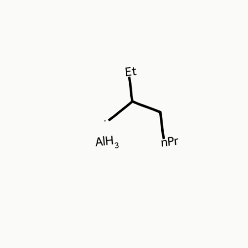 [AlH3].[CH2]C(CC)CCCC